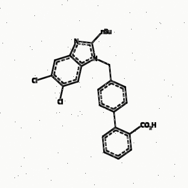 CCCCc1nc2cc(Cl)c(Cl)cc2n1Cc1ccc(-c2ccccc2C(=O)O)cc1